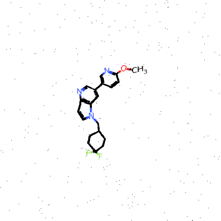 COc1ccc(-c2cnc3ccn(CC4CCC(F)(F)CC4)c3c2)cn1